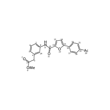 COC(=O)Cc1cccc(NC(=O)c2ccc(-c3ccc(C(C)=O)cc3)o2)c1